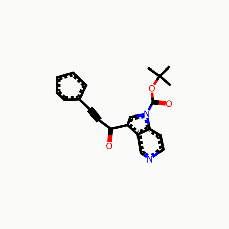 CC(C)(C)OC(=O)n1cc(C(=O)C#Cc2ccccc2)c2cnccc21